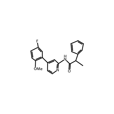 COc1ccc(F)cc1-c1ccnc(NC(=O)C(C)c2ccccc2)c1